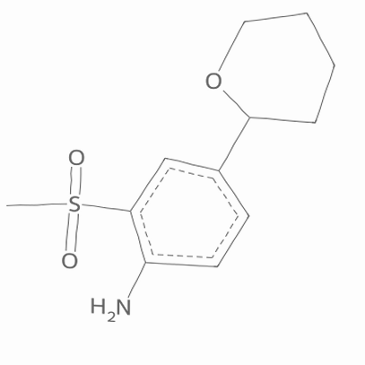 CS(=O)(=O)c1cc(C2CCCCO2)ccc1N